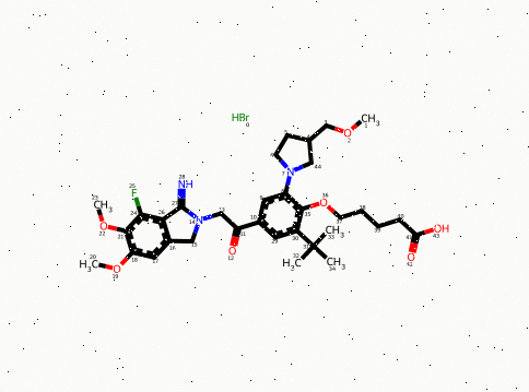 Br.COCC1CCN(c2cc(C(=O)CN3Cc4cc(OC)c(OC)c(F)c4C3=N)cc(C(C)(C)C)c2OCCCCC(=O)O)C1